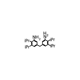 CC(C)c1cc(Cc2cc(N)c(C(C)C)c(C(C)C)c2)cc(N)c1C(C)C